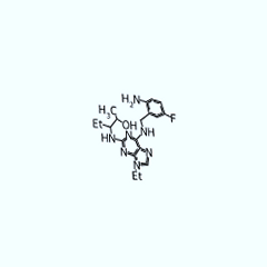 CCC(Nc1nc(NCc2cc(F)ccc2N)c2ncn(CC)c2n1)C(C)O